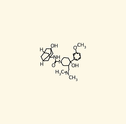 COc1cccc(C2(O)CCN(C(=O)NC34C[C@@H]5C[C@@H](CC(O)(C5)C3)C4)CC2CN(C)C)c1